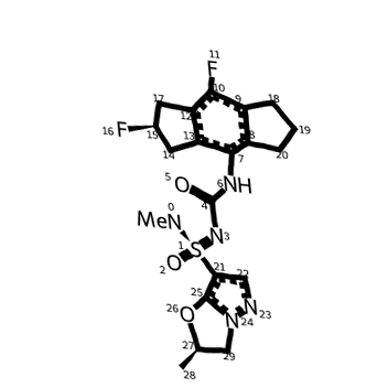 CN[S@@](=O)(=NC(=O)Nc1c2c(c(F)c3c1C[C@@H](F)C3)CCC2)c1cnn2c1O[C@H](C)C2